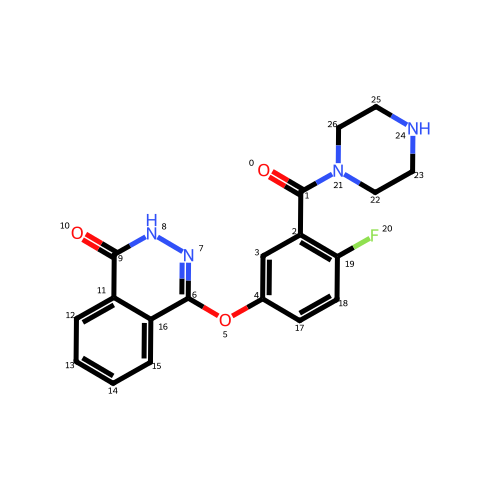 O=C(c1cc(Oc2n[nH]c(=O)c3ccccc23)ccc1F)N1CCNCC1